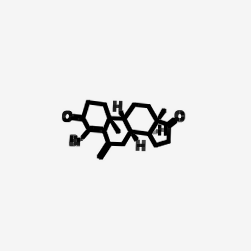 C=C1C[C@@H]2[C@@H](CC[C@]3(C)C(=O)CC[C@@H]23)[C@@]2(C)CCC(=O)C(Br)=C12